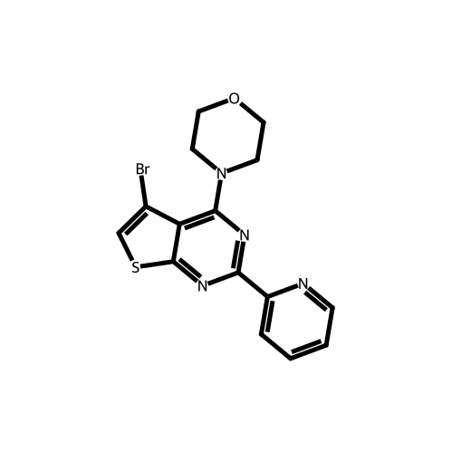 Brc1csc2nc(-c3ccccn3)nc(N3CCOCC3)c12